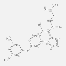 Cc1cc(C)cc(Oc2ccc3c(O)c(C(=O)NCC(=O)O)n4ncnc4c3c2)c1